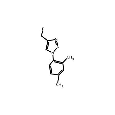 Cc1ccc(-n2cc(CF)nn2)c(C)c1